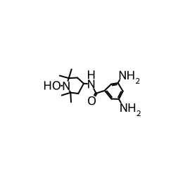 CC1(C)CC(NC(=O)c2cc(N)cc(N)c2)CC(C)(C)N1O